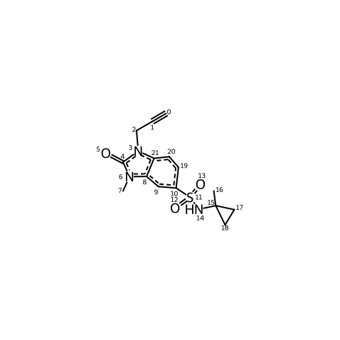 C#CCn1c(=O)n(C)c2cc(S(=O)(=O)NC3(C)CC3)ccc21